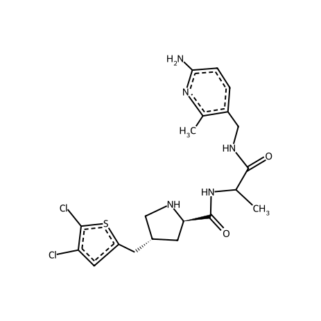 Cc1nc(N)ccc1CNC(=O)C(C)NC(=O)[C@H]1C[C@H](Cc2cc(Cl)c(Cl)s2)CN1